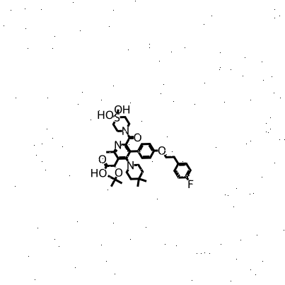 Cc1nc(C(=O)N2CCS(O)(O)CC2)c(-c2ccc(OCCc3ccc(F)cc3)cc2)c(N2CCC(C)(C)CC2)c1[C@H](OC(C)(C)C)C(=O)O